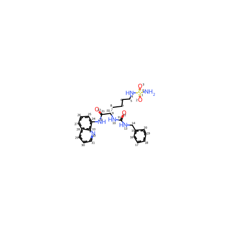 NS(=O)(=O)NCCCC[C@H](NC(=O)NCc1ccccc1)C(=O)Nc1cccc2cccnc12